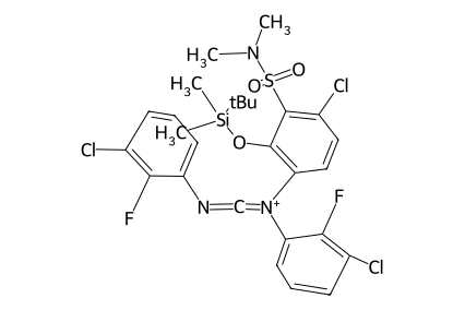 CN(C)S(=O)(=O)c1c(Cl)ccc([N+](=C=Nc2cccc(Cl)c2F)c2cccc(Cl)c2F)c1O[Si](C)(C)C(C)(C)C